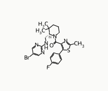 Cc1nc(C(=O)N2CCCC(C)(C)[C@H]2CNc2ncc(Br)cn2)c(-c2ccc(F)cc2)s1